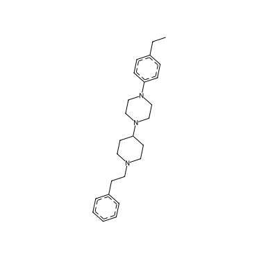 CCc1ccc(N2CCN(C3CCN(CCc4ccccc4)CC3)CC2)cc1